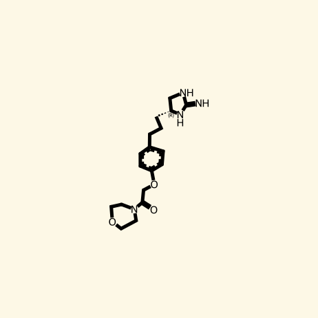 N=C1NC[C@@H](CCCc2ccc(OCC(=O)N3CCOCC3)cc2)N1